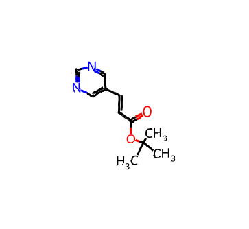 CC(C)(C)OC(=O)C=Cc1cncnc1